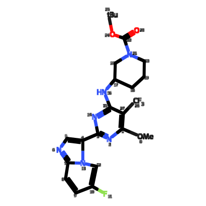 COc1nc(-c2cnc3ccc(F)cn23)nc(NC2CCCN(C(=O)OC(C)(C)C)C2)c1C(F)(F)F